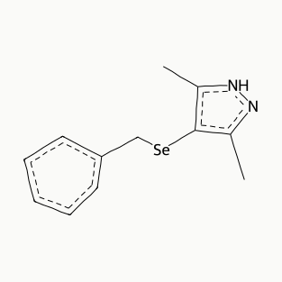 Cc1n[nH]c(C)c1[Se]Cc1ccccc1